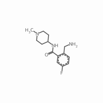 CN1CCC(NC(=O)c2cc(F)ccc2CN)CC1